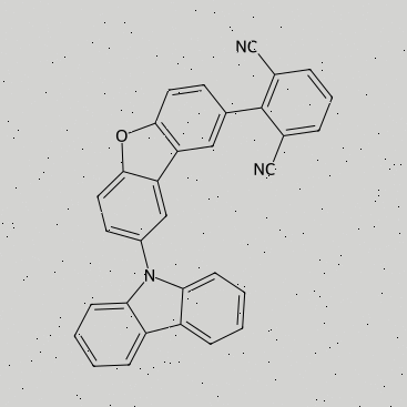 N#Cc1cccc(C#N)c1-c1ccc2oc3ccc(-n4c5ccccc5c5ccccc54)cc3c2c1